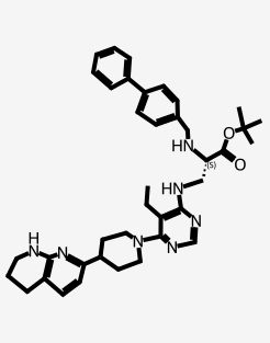 CCc1c(NC[C@H](NCc2ccc(-c3ccccc3)cc2)C(=O)OC(C)(C)C)ncnc1N1CCC(c2ccc3c(n2)NCCC3)CC1